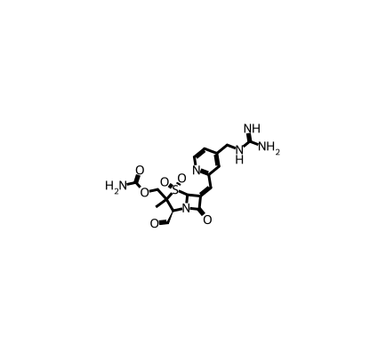 CC1(COC(N)=O)[C@H](C=O)N2C(=O)/C(=C/c3cc(CNC(=N)N)ccn3)C2S1(=O)=O